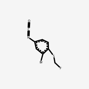 O=C=Nc1ccc(SCF)c(Br)c1